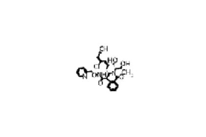 C#C/C=C(Cl)\C=C/C[C@H]1[C@H](C(=O)NOCc2ccccn2)c2ccccc2C(=O)N1[C@H](CO)[C@@H](C)O